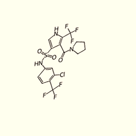 O=C(c1c(S(=O)(=O)Nc2ccc(C(F)(F)F)c(Cl)c2)c[nH]c1C(F)(F)F)N1CCCC1